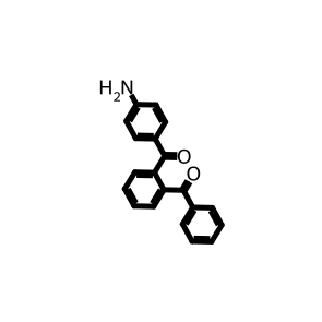 Nc1ccc(C(=O)c2ccccc2C(=O)c2ccccc2)cc1